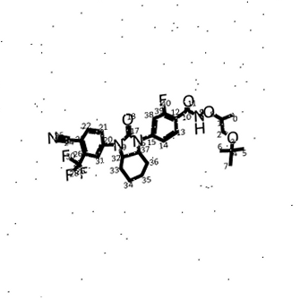 CC(COC(C)(C)C)ONC(=O)c1ccc(N2C(=O)N(c3ccc(C#N)c(C(F)(F)F)c3)C3CCCCC32)cc1F